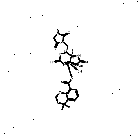 CC1(C)CCOc2c(C(=O)NC3CN4C(=N)N[C@@H](CN5C(=O)CNC5=O)[C@@H]5NC(=N)N[C@@]54C3(O)O)cccc21